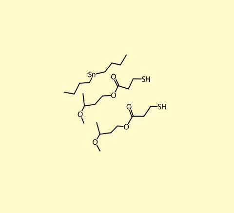 CCC[CH2][Sn][CH2]CCC.COC(C)CCOC(=O)CCS.COC(C)CCOC(=O)CCS